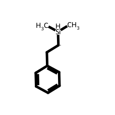 C[SiH](C)[CH]Cc1ccccc1